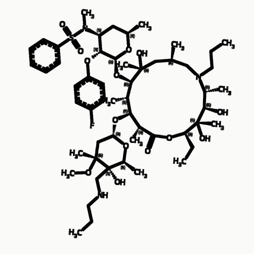 CCCNC[C@]1(O)[C@H](C)O[C@@H](O[C@H]2[C@H](C)[C@@H](O[C@@H]3O[C@H](C)C[C@H](N(C)S(=O)(=O)c4ccccc4)[C@H]3Oc3ccc(F)cc3)[C@](C)(O)C[C@@H](C)CN(CCC)[C@H](C)[C@@H](O)[C@](C)(O)[C@@H](CC)OC(=O)[C@@H]2C)C[C@@]1(C)OC